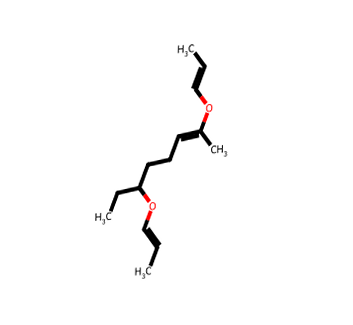 CC=COC(C)=CCCC(CC)OC=CC